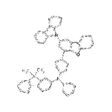 CC1(C)c2ccccc2-c2ccc(N(c3ccccc3)c3ccc(-c4cc(-n5c6ccccc6c6ccccc65)cc5c4oc4ccccc45)cc3)cc21